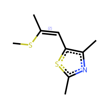 CS/C(C)=C\c1sc(C)nc1C